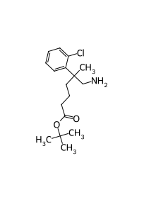 CC(C)(C)OC(=O)CCCC(C)(CN)c1ccccc1Cl